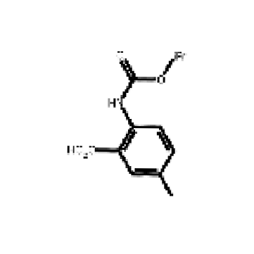 CC(C)OC(=O)Nc1ccc(I)cc1C(=O)O